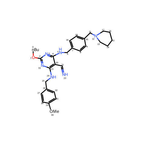 CCCCOc1nc(NCc2ccc(CN3CCCCC3)cc2)c(C=N)c(NCc2ccc(OC)cc2)n1